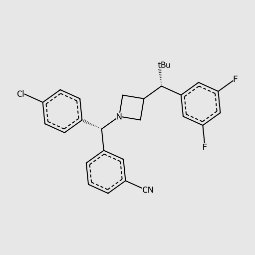 CC(C)(C)[C@H](c1cc(F)cc(F)c1)C1CN([C@@H](c2ccc(Cl)cc2)c2cccc(C#N)c2)C1